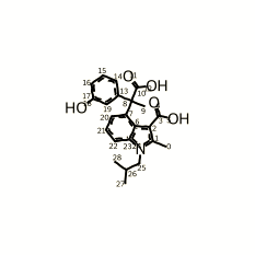 Cc1c(C(=O)O)c2c(C(C)(C(=O)O)c3cccc(O)c3)cccc2n1CC(C)C